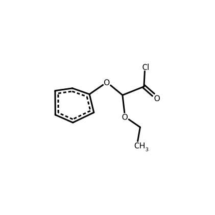 CCOC(Oc1ccccc1)C(=O)Cl